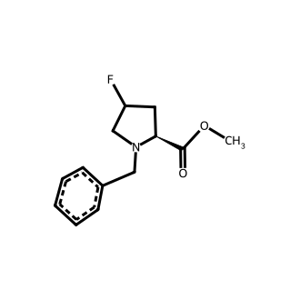 COC(=O)[C@@H]1CC(F)CN1Cc1ccccc1